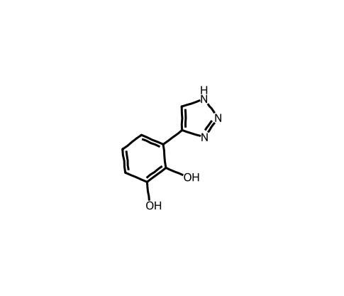 Oc1cccc(-c2c[nH]nn2)c1O